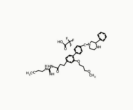 CCCCNC(=N)NC(=O)CCc1ccc(-c2ccc(CN3CCNC(c4ccccc4)C3)cc2)c(OCCCOC)c1.O=C(O)C(F)(F)F